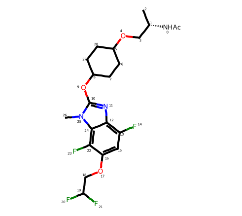 CC(=O)N[C@@H](C)COC1CCC(Oc2nc3c(F)cc(OCC(F)F)c(F)c3n2C)CC1